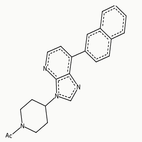 CC(=O)N1CCC(n2cnc3c(-c4ccc5ccccc5c4)ccnc32)CC1